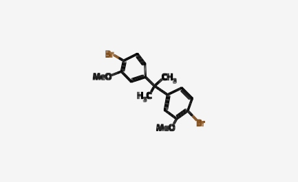 COc1cc(C(C)(C)c2ccc(Br)c(OC)c2)ccc1Br